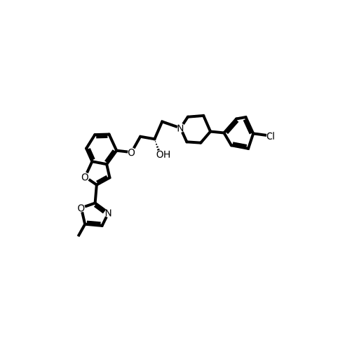 Cc1cnc(-c2cc3c(OC[C@@H](O)CN4CCC(c5ccc(Cl)cc5)CC4)cccc3o2)o1